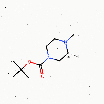 C[C@@H]1CN(C(=O)OC(C)(C)C)CCN1C